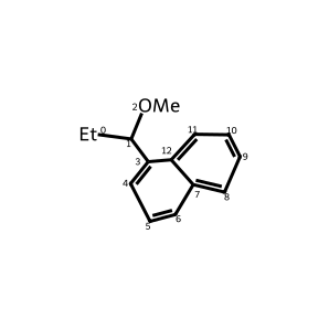 [CH2]CC(OC)c1cccc2ccccc12